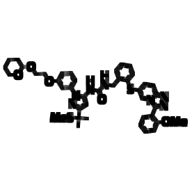 COc1ccccc1-c1nnc2ccc(Sc3ccccc3CNC(=O)Nc3cc(C(C)(C)SC)nn3-c3cccc(OCCOC4CCCCO4)c3)cn12